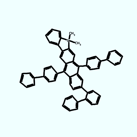 C[Si]1(C)c2ccccc2-c2cc3c(-c4ccc(-c5ccccc5)cc4)c4ccc(-c5ccccc5-c5ccccc5)cc4c(-c4ccc(-c5ccccc5)cc4)c3cc21